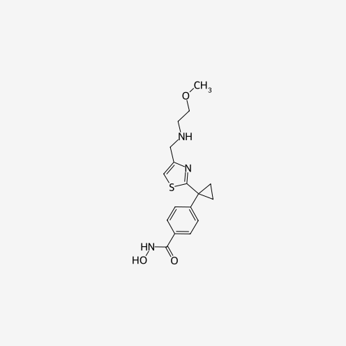 COCCNCc1csc(C2(c3ccc(C(=O)NO)cc3)CC2)n1